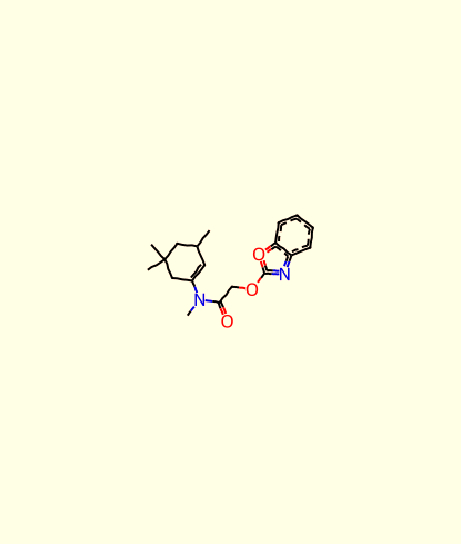 CC1C=C(N(C)C(=O)COc2nc3ccccc3o2)CC(C)(C)C1